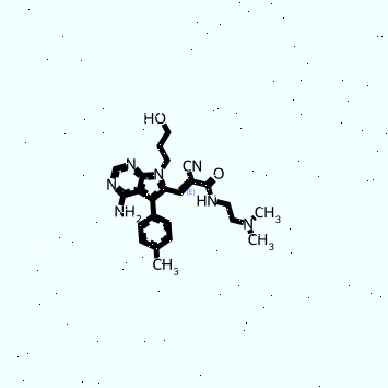 Cc1ccc(-c2c(/C=C(\C#N)C(=O)NCCN(C)C)n(CCCO)c3ncnc(N)c23)cc1